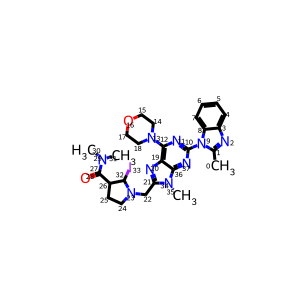 Cc1nc2ccccc2n1-c1nc(N2CCOCC2)c2nc(CN3CCC(C(=O)N(C)C)C3I)n(C)c2n1